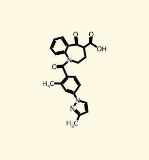 Cc1ccn(-c2ccc(C(=O)N3CCC(C(=O)O)C(=O)c4ccccc43)c(C)c2)n1